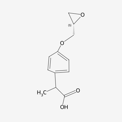 CC(C(=O)O)c1ccc(OC[C@@H]2CO2)cc1